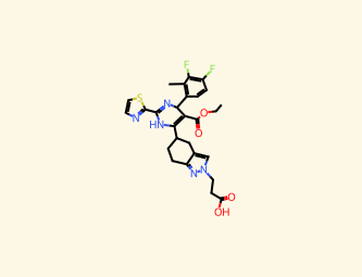 CCOC(=O)C1=C(C2CCc3nn(CCC(=O)O)cc3C2)NC(c2nccs2)=NC1c1ccc(F)c(F)c1C